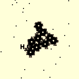 CC1(c2ccccc2)c2ccccc2-c2ccc(N(c3cccc(-c4cccc5ccccc45)c3)c3cccc(-c4cccc5c4sc4ccccc45)c3)cc21